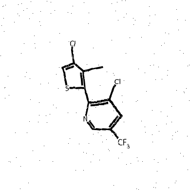 Cc1c(Cl)csc1-c1ncc(C(F)(F)F)cc1Cl